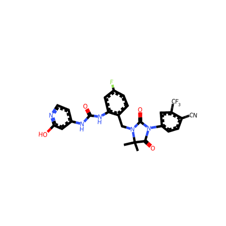 CC1(C)C(=O)N(c2ccc(C#N)c(C(F)(F)F)c2)C(=O)N1Cc1ccc(F)cc1NC(=O)Nc1ccnc(O)c1